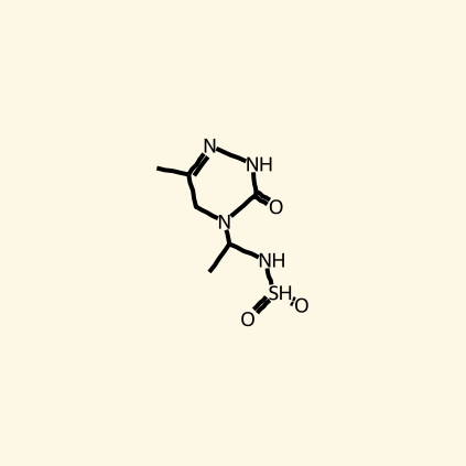 CC1=NNC(=O)N(C(C)N[SH](=O)=O)C1